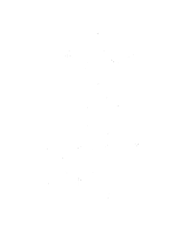 COc1cc(Br)c2[nH]c(=O)c3sccc3c2c1-c1ccc(CC(F)N(C)C(=O)OC(C)(C)C)cc1